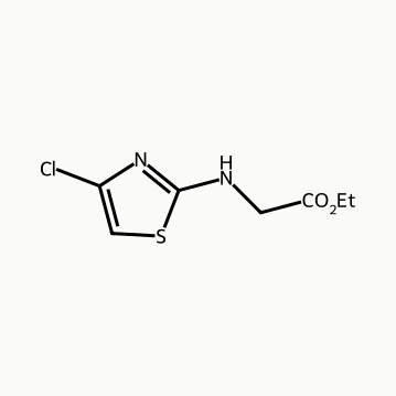 CCOC(=O)CNc1nc(Cl)cs1